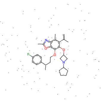 C=C(C)c1c(OC2CN(C3CCCC3)C2)c(OCCC(C)c2ccc(F)cc2)c2oc(C)nc2c1C